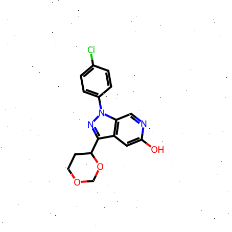 Oc1cc2c(C3CCOCO3)nn(-c3ccc(Cl)cc3)c2cn1